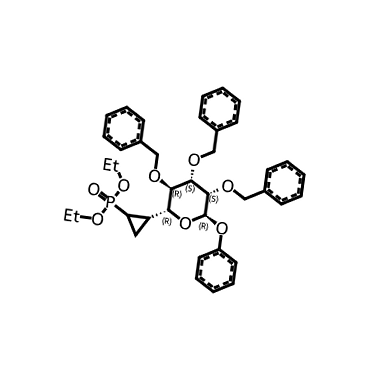 CCOP(=O)(OCC)C1CC1[C@H]1O[C@H](Oc2ccccc2)[C@@H](OCc2ccccc2)[C@@H](OCc2ccccc2)[C@@H]1OCc1ccccc1